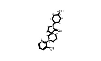 N#Cc1cccnc1N1CCC[C@]2(CCN(C3CCC(O)CC3)C2=O)C1